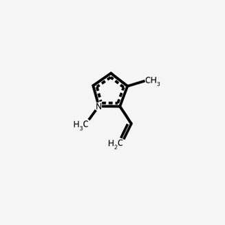 C=Cc1c(C)ccn1C